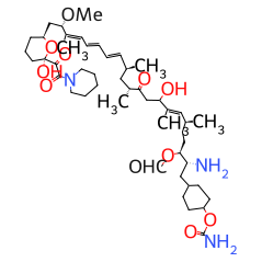 CO[C@@H](C[C@@H]1CCC[C@](O)(C(=O)C(=O)N2CCCCC2)O1)/C(C)=C/C=C/C=C/[C@@H](C)C[C@@H](C)C(=O)CC(O)/C(C)=C/[C@@H](C)CC[C@H](OC=O)[C@H](N)CC1CCC(OC(N)=O)CC1